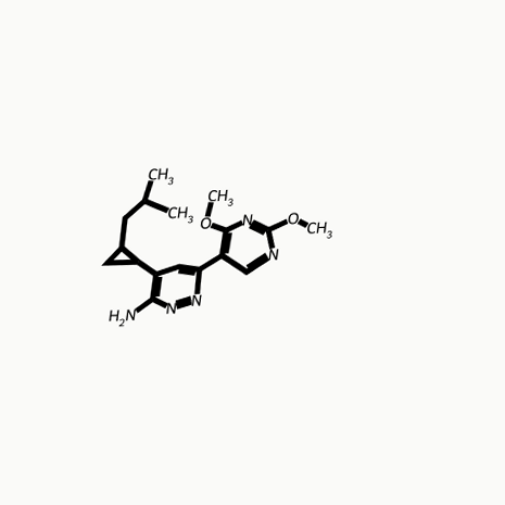 COc1ncc(-c2cc(C3CC3CC(C)C)c(N)nn2)c(OC)n1